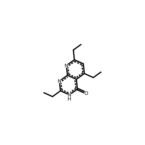 CCc1cc(CC)c2c(=O)[nH]c(CC)nc2n1